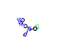 Fc1ccc(-c2cn(CCN3CCC3)c(C3CCN(c4ncnc5c4CCCN5)CC3)n2)cc1Cl